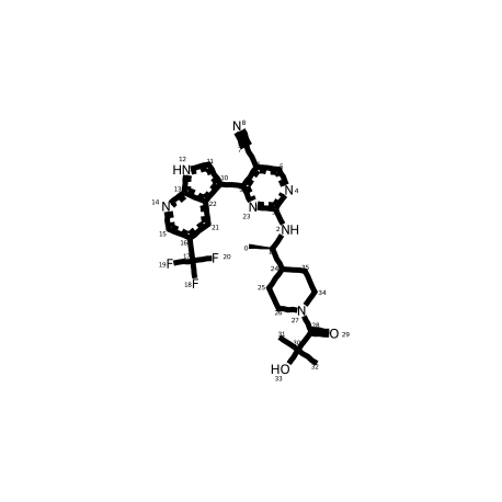 C[C@@H](Nc1ncc(C#N)c(-c2c[nH]c3ncc(C(F)(F)F)cc23)n1)C1CCN(C(=O)C(C)(C)O)CC1